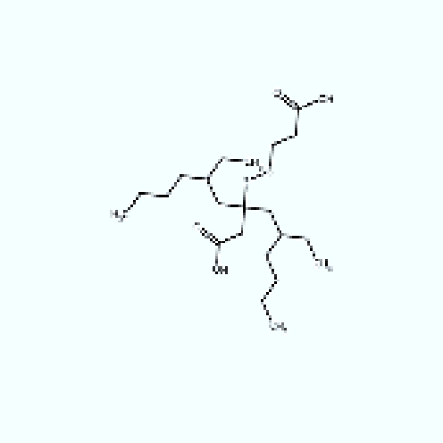 CCCCC(CC)CC(CC(=O)O)(CC(CC)CCCC)SSCCC(=O)O